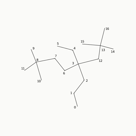 CCCC(CC)(CCC(C)(C)C)CC(C)(C)C